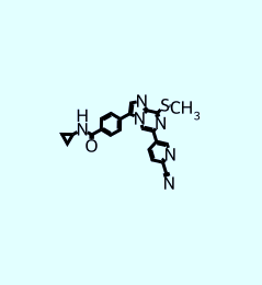 CSc1nc(-c2ccc(C#N)nc2)cn2c(-c3ccc(C(=O)NC4CC4)cc3)cnc12